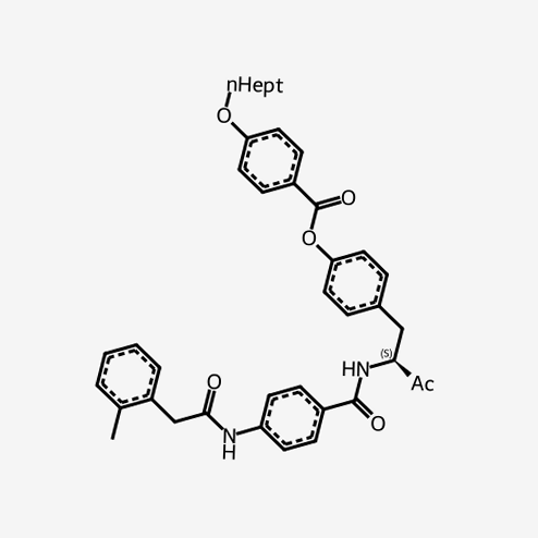 CCCCCCCOc1ccc(C(=O)Oc2ccc(C[C@H](NC(=O)c3ccc(NC(=O)Cc4ccccc4C)cc3)C(C)=O)cc2)cc1